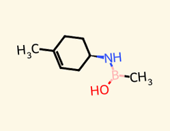 CB(O)N[C@H]1CC=C(C)CC1